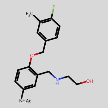 CC(=O)Nc1ccc(OCc2ccc(F)c(C(F)(F)F)c2)c(CNCCO)c1